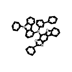 c1ccc(-c2cccc(N(c3c4oc(-c5ccccc5)nc4cc4c3oc3ccccc34)c3cccc4c3c3ccccc3n4-c3ccccc3)c2)cc1